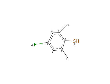 Cc1cc(F)cc(C)c1S